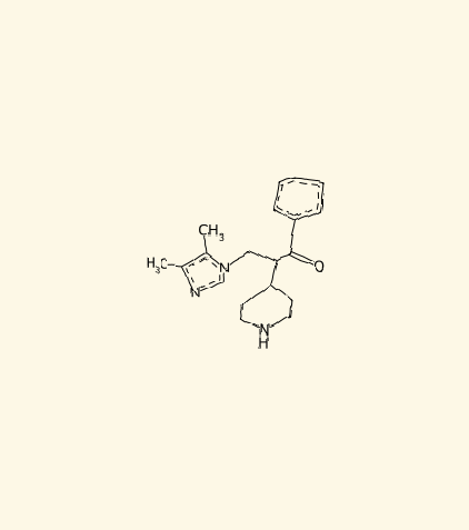 Cc1ncn(CC(C(=O)c2ccccc2)C2CCNCC2)c1C